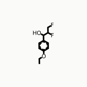 CCOc1ccc(C(O)C(F)CF)cc1